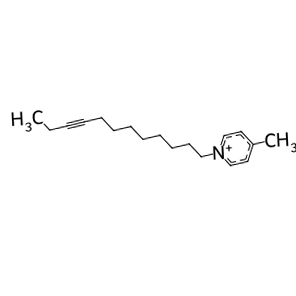 CCC#CCCCCCCCC[n+]1ccc(C)cc1